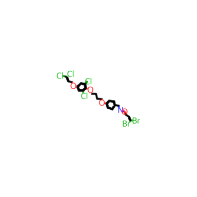 ClC(Cl)=CCOc1cc(Cl)c(OCCCCOc2ccc(C=NOCC=C(Br)Br)cc2)c(Cl)c1